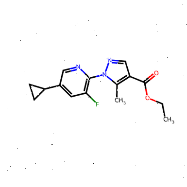 CCOC(=O)c1cnn(-c2ncc(C3CC3)cc2F)c1C